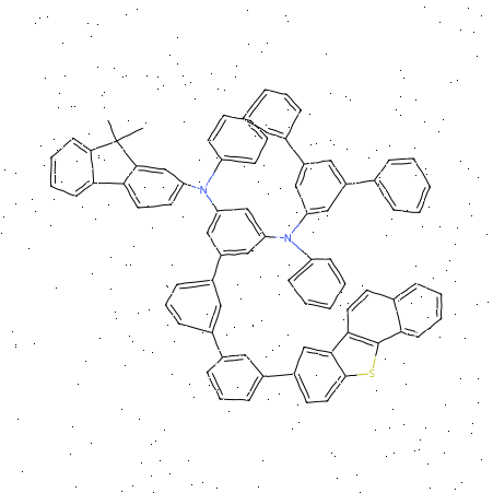 CC1(C)c2ccccc2-c2ccc(N(c3ccccc3)c3cc(-c4cccc(-c5cccc(-c6ccc7sc8c9ccccc9ccc8c7c6)c5)c4)cc(N(c4ccccc4)c4cc(-c5ccccc5)cc(-c5ccccc5)c4)c3)cc21